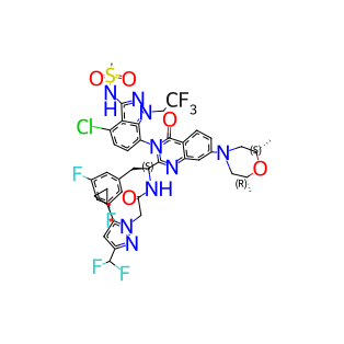 C[C@@H]1CN(c2ccc3c(=O)n(-c4ccc(Cl)c5c(NS(C)(=O)=O)nn(CC(F)(F)F)c45)c([C@H](Cc4cc(F)cc(F)c4)NC(=O)Cn4nc(C(F)F)cc4C4CC4)nc3c2)C[C@H](C)O1